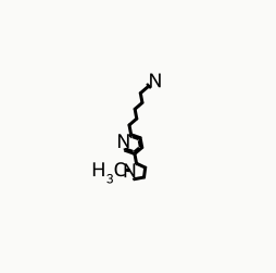 CN1CCCC1c1ccc(CCCCCC#N)nc1